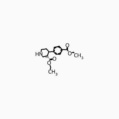 CCOC(=O)c1ccc(C2CCNC[C@H]2C(=O)OCC)cc1